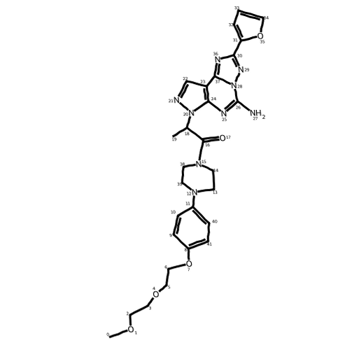 COCCOCCOc1ccc(N2CCN(C(=O)C(C)n3ncc4c3nc(N)n3nc(-c5ccco5)nc43)CC2)cc1